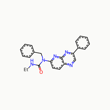 CCNC(=O)N(Cc1ccccc1)c1ccc2ncc(-c3ccccc3)nc2n1